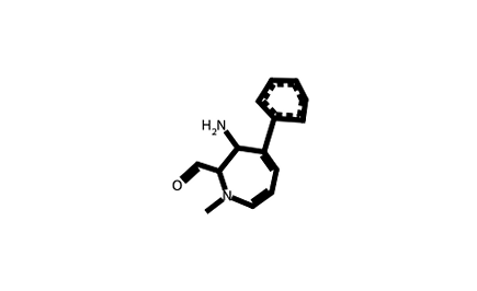 CN1C=CC=C(c2ccccc2)C(N)C1C=O